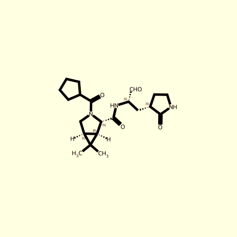 CC1(C)[C@@H]2[C@@H](C(=O)N[C@H](C=O)C[C@@H]3CCNC3=O)N(C(=O)C3CCCC3)C[C@@H]21